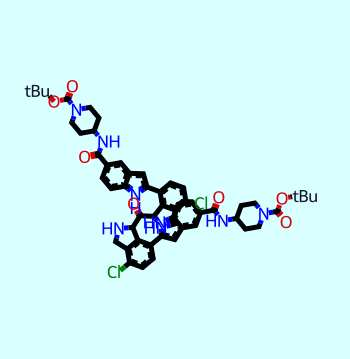 CC(C)(C)OC(=O)N1CCC(NC(=O)c2ccc3[nH]c(-c4ccc(Cl)c5c4C(C(=O)C4NCc6c(Cl)ccc(-c7cc8cc(C(=O)NC9CCN(C(=O)OC(C)(C)C)CC9)ccc8[nH]7)c64)NC5)cc3c2)CC1